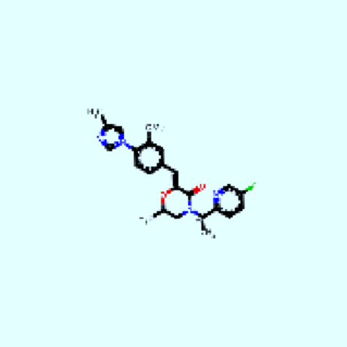 COc1cc(C=C2OC(C)CN([C@H](C)c3ccc(Cl)cn3)C2=O)ccc1-n1cnc(C)c1